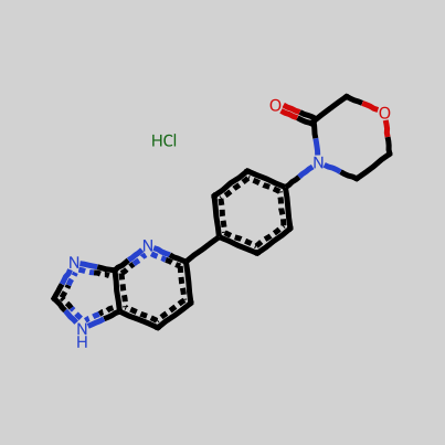 Cl.O=C1COCCN1c1ccc(-c2ccc3[nH]cnc3n2)cc1